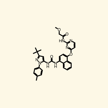 COCC(=O)Nc1nccc(Oc2ccc(NC(=O)Nc3cc(C(C)(C)C)nn3-c3ccc(C)cc3)c3ccccc23)n1